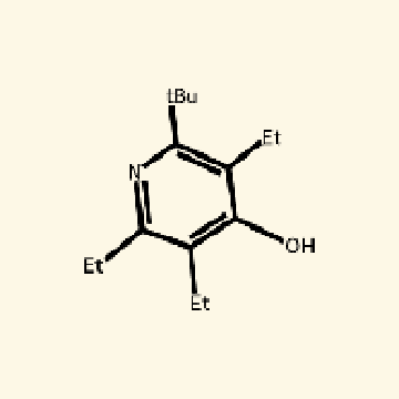 CCc1nc(C(C)(C)C)c(CC)c(O)c1CC